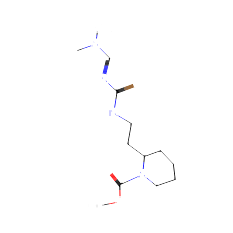 CN(C)/C=N/C(=S)NCCC1CCCCN1C(=O)OC(C)(C)C